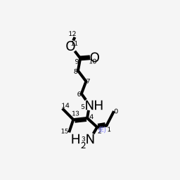 C/C=C(/N)C(NCCCC(=O)OC)=C(C)C